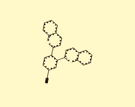 N#Cc1ccc(-c2ccc3ccccc3n2)c(-c2ccc3ccccc3n2)c1